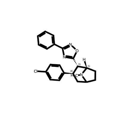 CN1C2CC[C@H]1[C@@H](c1nc(-c3ccccc3)no1)[C@H](c1ccc(Cl)cc1)C2